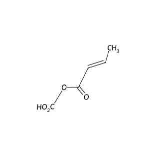 CC=CC(=O)OC(=O)O